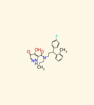 CCCN(CCC(c1ccc(F)cc1)c1ccccc1C)C(=O)c1[nH]ncc(=O)c1O